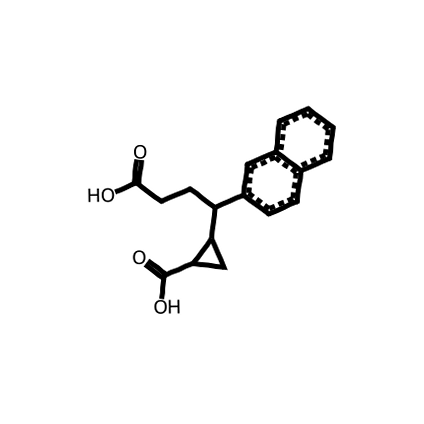 O=C(O)CCC(c1ccc2ccccc2c1)C1CC1C(=O)O